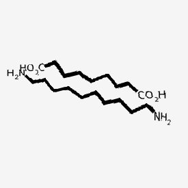 NCCCCCCCCCCN.O=C(O)CCCCCCCC(=O)O